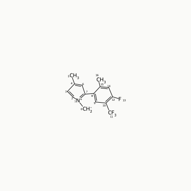 [CH2-][n+]1ccc(C)cc1-c1cc(C(F)(F)F)c(F)cc1C